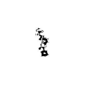 COC(=O)Nc1cn2nc(OC(c3ccccc3)N(C)C)ccc2n1